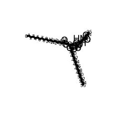 CCCCCCCCCCCCCCCCCC(=O)OC[C@H](COP(=O)(O)OCCNC(=O)OCC)OC(=O)CCCCCCCCCCCCCCCCC